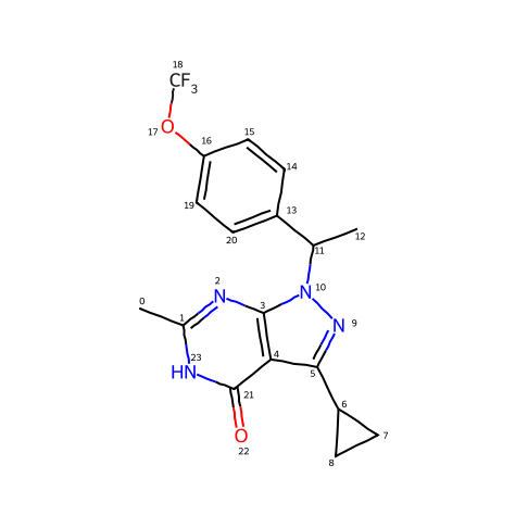 Cc1nc2c(c(C3CC3)nn2C(C)c2ccc(OC(F)(F)F)cc2)c(=O)[nH]1